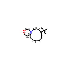 CC(C)(C)C1CCCCCCC2CCOCCN2CCC1